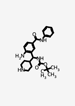 CC(C)(C)OC(=O)NC(c1cc(C(=O)Nc2ccccc2)ccc1N)C1CCNCC1